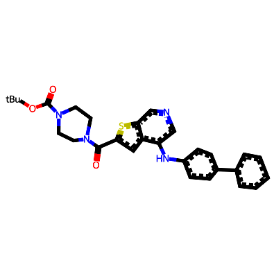 CC(C)(C)OC(=O)N1CCN(C(=O)c2cc3c(Nc4ccc(-c5ccccc5)cc4)cncc3s2)CC1